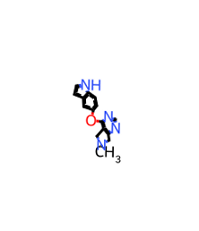 CN1Cc2ncnc(Oc3ccc4[nH]ccc4c3)c2C1